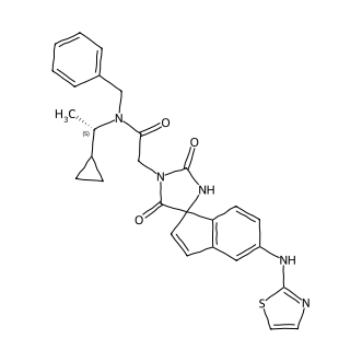 C[C@@H](C1CC1)N(Cc1ccccc1)C(=O)CN1C(=O)NC2(C=Cc3cc(Nc4nccs4)ccc32)C1=O